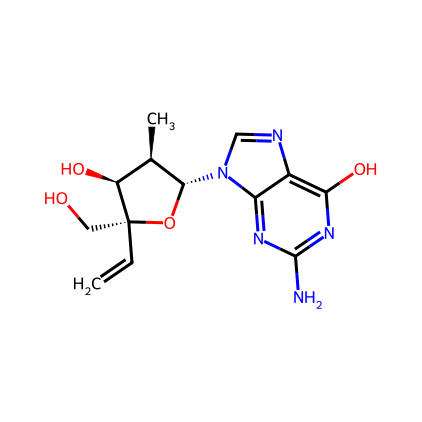 C=C[C@]1(CO)O[C@@H](n2cnc3c(O)nc(N)nc32)[C@H](C)[C@@H]1O